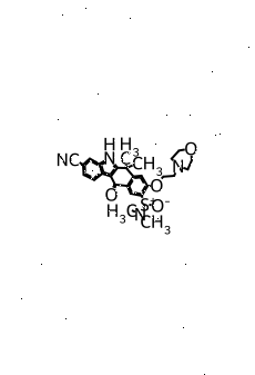 CN(C)[S+]([O-])c1cc2c(cc1OCCN1CCOCC1)C(C)(C)c1[nH]c3cc(C#N)ccc3c1C2=O